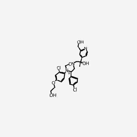 C[C@@](O)(CN1CCN(c2ccc(OCCO)cc2Cl)[C@H](c2ccc(Cl)cc2)C1)c1ccnc(CO)c1